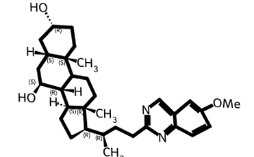 COc1ccc2nc(CC[C@@H](C)[C@H]3CC[C@H]4[C@H]5C(CC[C@]34C)[C@@]3(C)CC[C@@H](O)C[C@H]3C[C@@H]5O)ncc2c1